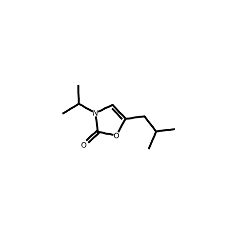 CC(C)Cc1cn(C(C)C)c(=O)o1